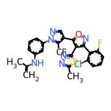 C=C(C)Nc1cccc(-n2ncc(-c3onc(-c4c(F)cccc4Cl)c3-c3nnc(C)s3)c2C(F)(F)F)c1